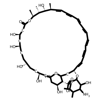 CC1OC(O[C@H]2/C=C/C=C/C=C/C=C/C=C/C=C/C=C/[C@H](C)[C@@H](O)[C@@H](C)[C@H](C)OC(=O)C[C@H](O)C[C@H](O)CC[C@@H](O)CC[C@H](O)C[C@]3(O)C[C@H](O)[C@@H](C(=O)O)C(C2)O3)C(O)C(N)C1C